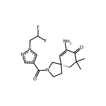 CC1(C)C[C@]2(C=C(N)C1=O)CCN(C(=O)c1cnn(CC(F)F)c1)C2